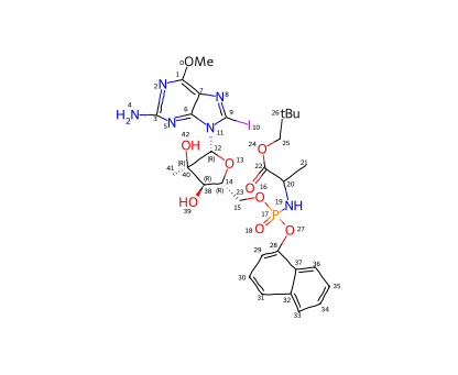 COc1nc(N)nc2c1nc(I)n2[C@@H]1O[C@H](COP(=O)(NC(C)C(=O)OCC(C)(C)C)Oc2cccc3ccccc23)[C@@H](O)[C@@]1(C)O